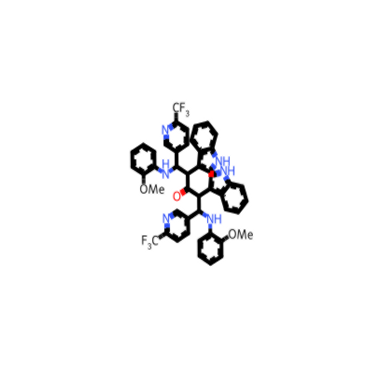 COc1ccccc1NC(c1ccc(C(F)(F)F)nc1)C(C(=O)C(c1c[nH]c2ccccc12)C(Nc1ccccc1OC)c1ccc(C(F)(F)F)nc1)c1c[nH]c2ccccc12